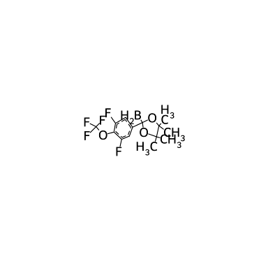 BC1(c2cc(F)c(OC(F)(F)F)c(F)c2)OC(C)(C)C(C)(C)O1